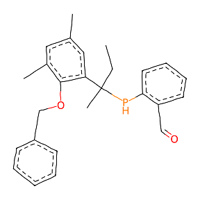 CCC(C)(Pc1ccccc1C=O)c1cc(C)cc(C)c1OCc1ccccc1